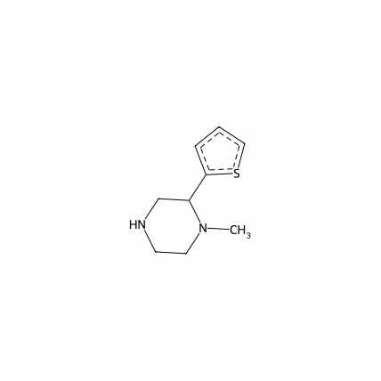 CN1CCNCC1c1cccs1